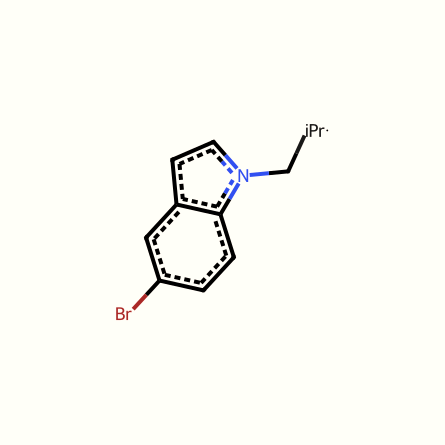 C[C](C)Cn1ccc2cc(Br)ccc21